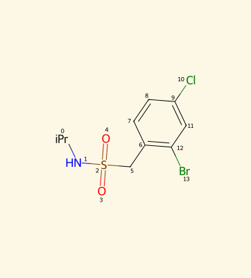 CC(C)NS(=O)(=O)Cc1ccc(Cl)cc1Br